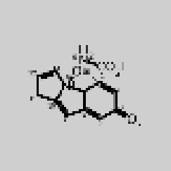 NC(=O)O.O=C1C=CC2C(=C1)C=C1CC=C[N+]12[O-]